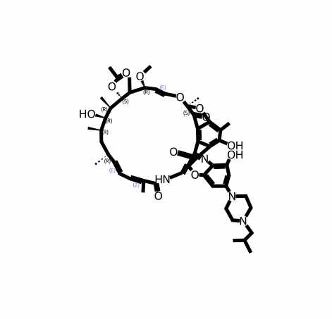 CO[C@H]1/C=C/O[C@@]2(C)Oc3c(C)c(O)c4c(=O)c(c5oc6cc(N7CCN(CC(C)C)CC7)cc(O)c6nc-5c4c3C2=O)NC(=O)/C(C)=C\C=C\[C@H](C)C[C@@H](C)[C@@H](O)[C@@H](C)[C@H](OC(C)=O)C1C